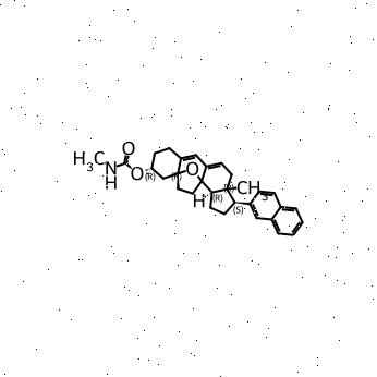 CNC(=O)O[C@@H]1CCC2=CC3=CC[C@]4(C)[C@@H](c5ccc6ccccc6c5)CC[C@H]4C34CC[C@]2(C1)O4